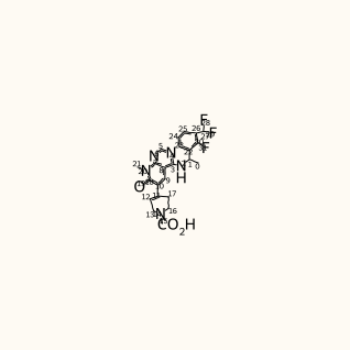 CC(Nc1ncnc2c1cc(C1=CCN(C(=O)O)CC1)c(=O)n2C)c1cccc(C(F)F)c1F